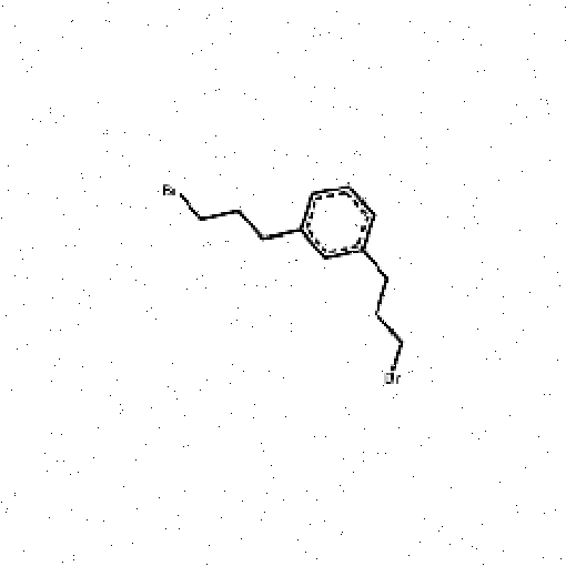 BrCCCc1c[c]cc(CCCBr)c1